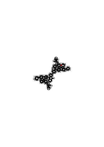 C=Cc1ccccc1N(c1ccc(-c2ccc(N(c3ccc4c(c3)C(c3ccccc3)(c3ccc(OCC5(CC)COC5)cc3)c3cc(-c5ccccc5)ccc3-4)c3ccccc3F)cc2)cc1)c1ccc2c(c1)C(c1ccccc1)(c1ccc(OCC3(CC)COC3)cc1)c1cc(-c3ccccc3)ccc1-2